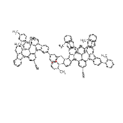 Cc1cccc(-c2ccc3c4ccccc4n(-c4cc(C#N)cc(-n5c6ccccc6c6ccc(-c7cccc(Cc8c(-c9ccccc9C)ccc9c8c8cc(-c%10ccccc%10C)ccc8n9-c8cc(C#N)cc(-n9c%10ccc(-c%11ccccc%11C)cc%10c%10cc(-c%11ccccc%11C)ccc%109)c8-c8cc(-c9ccccc9)nc(-c9ccccc9)n8)c7)cc65)c4-c4cc(C)nc(C)n4)c3c2)c1